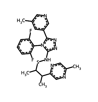 Cc1cncc(-c2nnc(NSC(C)C(C)c3cnc(C)cn3)n2-c2c(F)cccc2F)c1